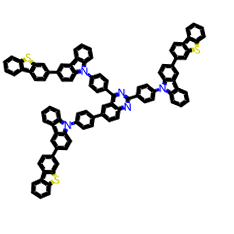 c1ccc2c(c1)sc1cc(-c3ccc4c(c3)c3ccccc3n4-c3ccc(-c4ccc5nc(-c6ccc(-n7c8ccccc8c8cc(-c9ccc%10c(c9)sc9ccccc9%10)ccc87)cc6)nc(-c6ccc(-n7c8ccccc8c8cc(-c9ccc%10c(c9)sc9ccccc9%10)ccc87)cc6)c5c4)cc3)ccc12